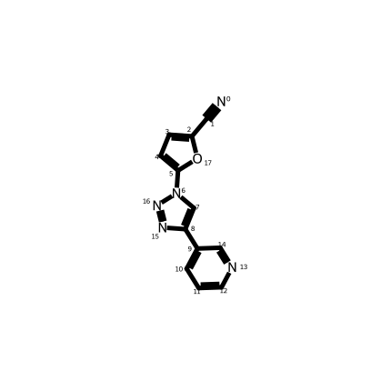 N#Cc1ccc(-n2cc(-c3cccnc3)nn2)o1